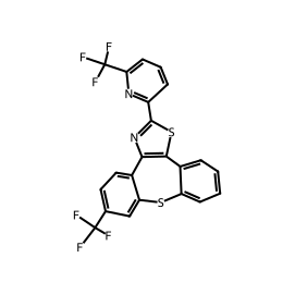 FC(F)(F)c1ccc2c(c1)Sc1ccccc1-c1sc(-c3cccc(C(F)(F)F)n3)nc1-2